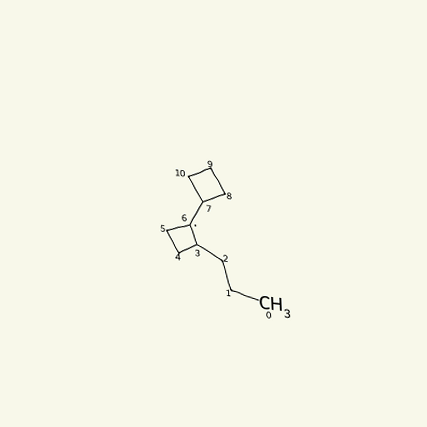 CCCC1CC[C]1C1CCC1